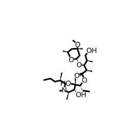 CCC[C@@H](C)CN(C)[C@H](C)[C@@H](O)[C@](C)(O)[C@@H](CC)OC(=O)[C@H](C)[C@@H](O[C@H]1C[C@@](C)(OC)C[C@H](C)O1)[C@H](C)CO